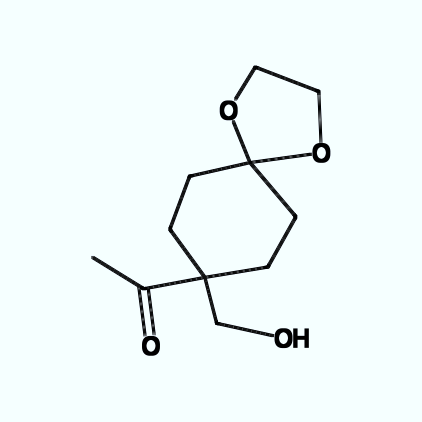 CC(=O)C1(CO)CCC2(CC1)OCCO2